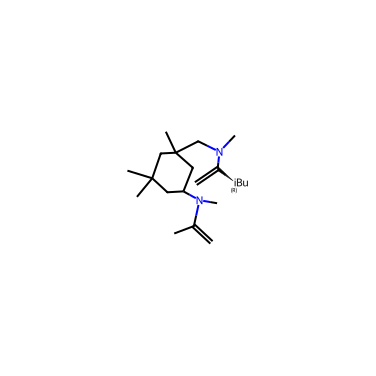 C=C([C@H](C)CC)N(C)CC1(C)CC(N(C)C(=C)C)CC(C)(C)C1